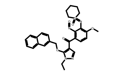 CCn1ncc(C(=O)c2ccc(OC)c(N=S3(=O)CCCCC3)c2N=O)c1OCc1ccc2ccccc2c1